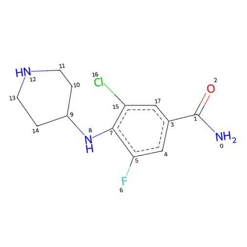 NC(=O)c1cc(F)c(NC2CCNCC2)c(Cl)c1